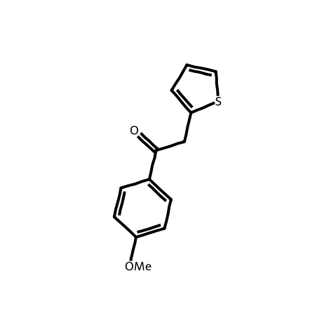 COc1ccc(C(=O)Cc2cccs2)cc1